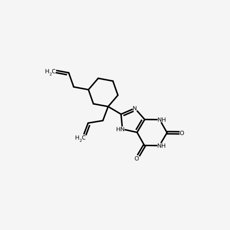 C=CCC1CCCC(CC=C)(c2nc3[nH]c(=O)[nH]c(=O)c3[nH]2)C1